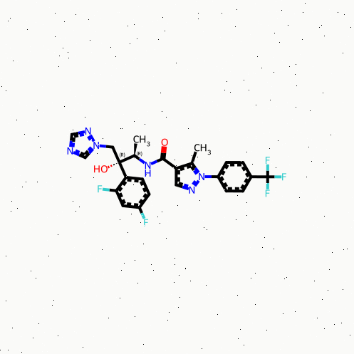 Cc1c(C(=O)N[C@H](C)[C@](O)(Cn2cncn2)c2ccc(F)cc2F)cnn1-c1ccc(C(F)(F)F)cc1